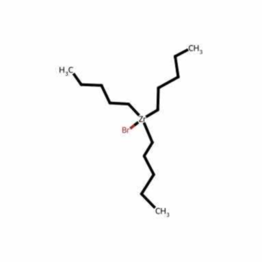 CCCC[CH2][Zr]([Br])([CH2]CCCC)[CH2]CCCC